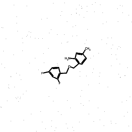 Cc1ccc(COCc2ccc(F)cc2F)c(N)c1